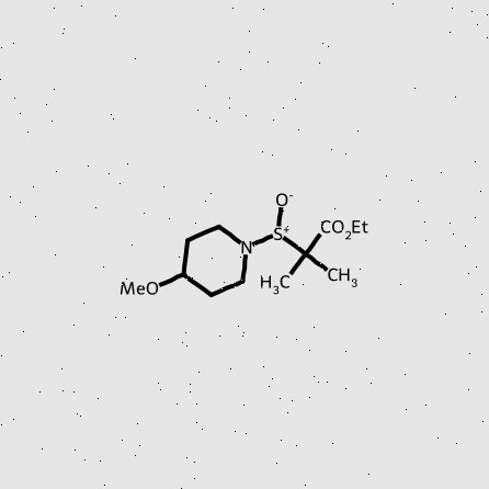 CCOC(=O)C(C)(C)[S+]([O-])N1CCC(OC)CC1